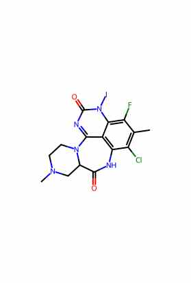 Cc1c(Cl)c2c3c(nc(=O)n(I)c3c1F)N1CCN(C)CC1C(=O)N2